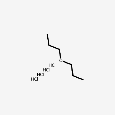 CCCOCCC.Cl.Cl.Cl.Cl